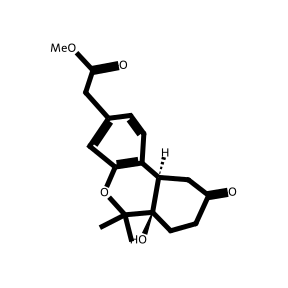 COC(=O)Cc1ccc2c(c1)OC(C)(C)[C@@]1(O)CCC(=O)C[C@H]21